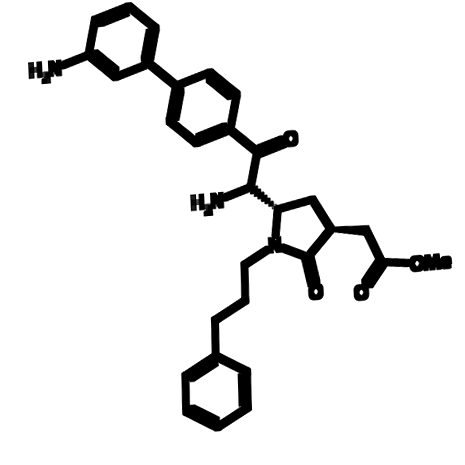 COC(=O)C[C@@H]1C[C@@H](C(N)C(=O)c2ccc(-c3cccc(N)c3)cc2)N(CCCc2ccccc2)C1=O